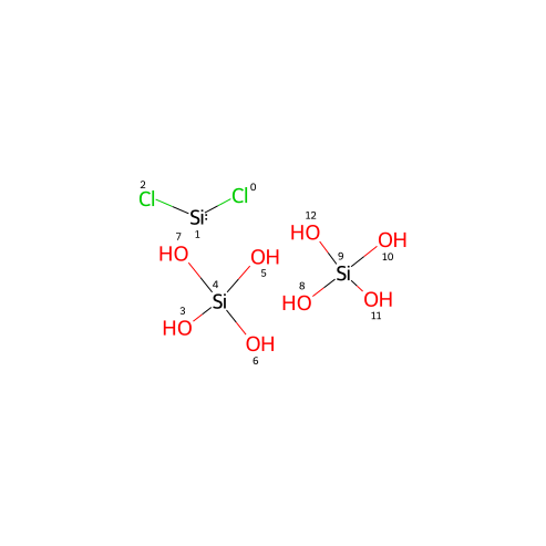 Cl[Si]Cl.O[Si](O)(O)O.O[Si](O)(O)O